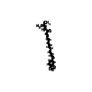 CC(C)CNC(=O)/C=C/C=C/CCCCCC/C=C/c1ccc2c(c1)OCO2